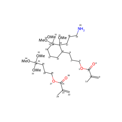 C=C(C)C(=O)OCCCC1CCC[Si](OC)(OC)C1(CCCN)OC.C=C(C)C(=O)OCCC[Si](OC)(OC)OC